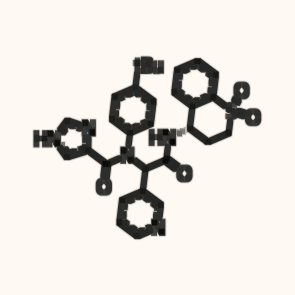 CC(C)(C)c1ccc(N(C(=O)c2c[nH]cn2)C(C(=O)N[C@H]2CCS(=O)(=O)c3ccccc32)c2cccnc2)cc1